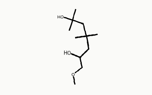 COCC(O)CC(C)(C)CC(C)(C)O